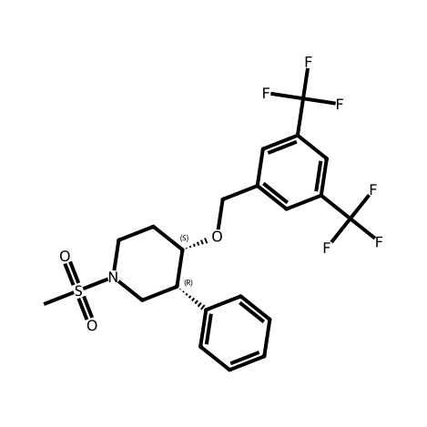 CS(=O)(=O)N1CC[C@H](OCc2cc(C(F)(F)F)cc(C(F)(F)F)c2)[C@H](c2ccccc2)C1